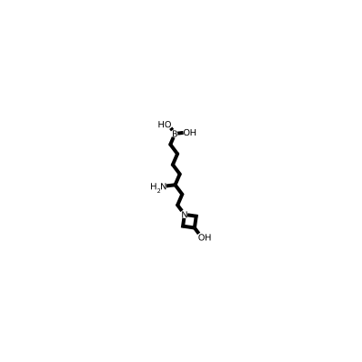 NC(CCCCB(O)O)CCN1CC(O)C1